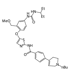 CCCCN1CC=C(c2ccc(C(=O)Nc3ncc(Oc4ccc(NC(=O)NC(CC)CC)cc4COC)s3)cc2)CC1